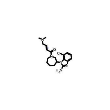 CN(C)C/C=C/C(=O)N1CCCCC(n2c(N)nc3cccc(Cl)c32)C1